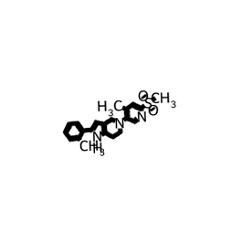 Cc1ccccc1-c1cc2c([nH]1)CCN(c1cnc(S(C)(=O)=O)cc1C)C2